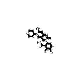 Cc1nc(N[C@H](C)c2cccc(C)c2C)c2cn(C3CCOCC3)c(=O)cc2n1